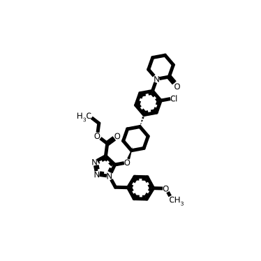 CCOC(=O)c1nnn(Cc2ccc(OC)cc2)c1O[C@H]1CC[C@H](c2ccc(N3CCCCC3=O)c(Cl)c2)CC1